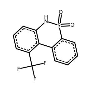 O=S1(=O)Nc2cccc(C(F)(F)F)c2-c2ccccc21